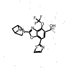 C[C@@H](O)c1cc(-c2nccs2)c2oc(N3CC4CC(C3)N4)nc2c1OC(F)(F)F